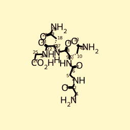 NCC(=O)NCC(=O)N[C@@H](CC(N)=O)C(=O)N[C@@H](CC(N)=O)C(=O)NCC(=O)O